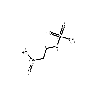 O=[PH](O)CCOS(=O)(=O)C(F)(F)F